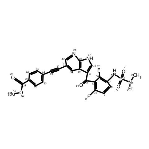 CCN(C)S(=O)(=O)Nc1ccc(F)c(C(=O)c2c[nH]c3ncc(C#Cc4ccc(C(=O)OC(C)(C)C)cc4)cc23)c1F